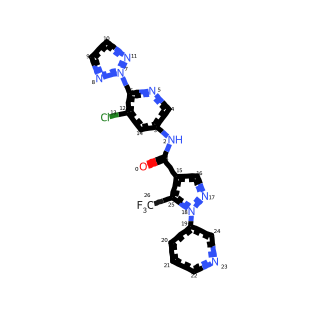 O=C(Nc1cnc(-n2nccn2)c(Cl)c1)c1cnn(-c2cccnc2)c1C(F)(F)F